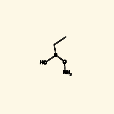 CCB(O)ON